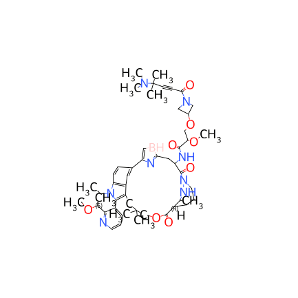 CCn1c(-c2cccnc2[C@H](C)OC)c2c3cc(ccc31)C1=CBC(=N1)CC(NC(=O)C(COC1CN(C(=O)C#CC(C)(C)N(C)C)C1)OC)C(=O)N1CCC[C@@H](C(=O)OCC(C)(C)C2)C(C)N1